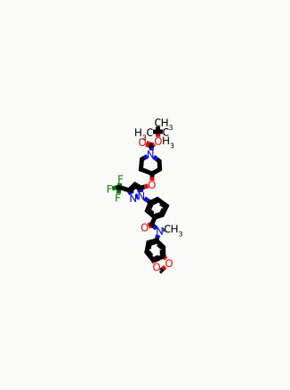 CN(C(=O)c1cccc(-n2nc(C(F)(F)F)cc2OC2CCN(C(=O)OC(C)(C)C)CC2)c1)c1ccc2c(c1)OCO2